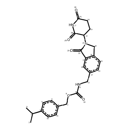 CC(C)c1ccc(COC(=O)NCc2ccc3c(c2)C(=O)N(C2CCC(=O)NC2=O)C3)cc1